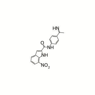 CC(=N)c1ccc(NC(=O)c2cc3cccc([N+](=O)[O-])c3[nH]2)cc1